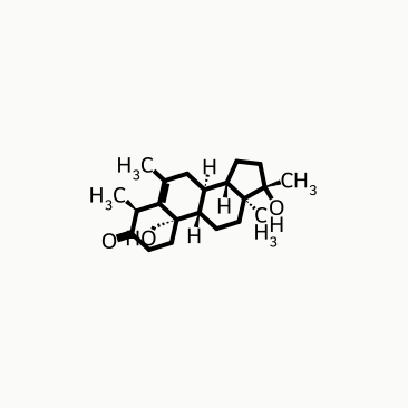 CC1=C2[C@H](C)C(=O)CC[C@]2(CO)[C@H]2CC[C@@]3(C)[C@@H](CC[C@]3(C)O)[C@@H]2C1